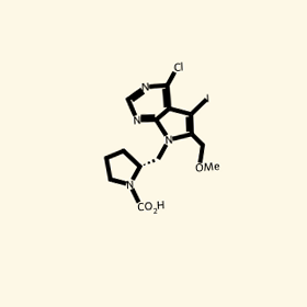 COCc1c(I)c2c(Cl)ncnc2n1C[C@H]1CCCN1C(=O)O